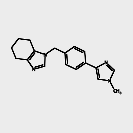 Cn1cnc(-c2ccc(Cn3cnc4c3CCCC4)cc2)c1